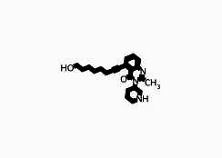 Cc1nc2cccc(C#CCCCCCCO)c2c(=O)n1C1CCCNC1